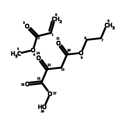 C=CC(=O)OC.CCCOC(=O)CC(=O)C(=O)OO